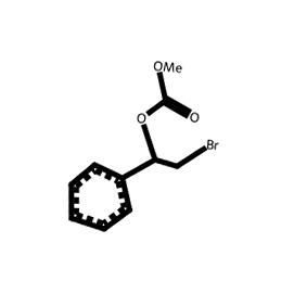 COC(=O)OC(CBr)c1ccccc1